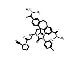 CN(C)C(=O)c1ccc2c(c1)CCc1cc(C(=O)N(C)C)ccc1C2(CCNCC(=O)N1CCCC1C#N)c1nn(-c2ccc(F)cc2)c(=O)[nH]1